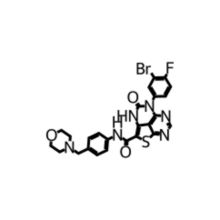 O=C(Nc1ccc(CN2CCOCC2)cc1)c1sc2ncnc3c2c1NC(=O)N3c1ccc(F)c(Br)c1